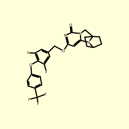 O=c1nc(OCc2cc(F)c(Oc3ccc(C(F)(F)F)cc3)c(F)c2)cc2n1CC13CCC(CC1)N23